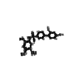 CCc1cc(O)c(NS(=O)(=O)c2ccc(-c3ccc(F)cc3F)cc2)cc1C(=O)O